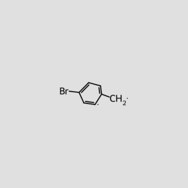 [CH2]c1[c]cc(Br)cc1